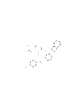 C[C@@H](C(=O)N[C@H]1CN(C(=O)c2ccc([N+](=O)[O-])cc2)c2ccccc2N(Cc2noc3ccccc23)C1=O)N(C)C(=O)O